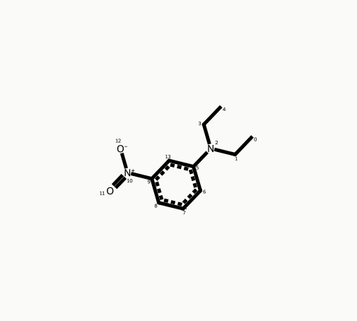 CCN(CC)c1c[c]cc([N+](=O)[O-])c1